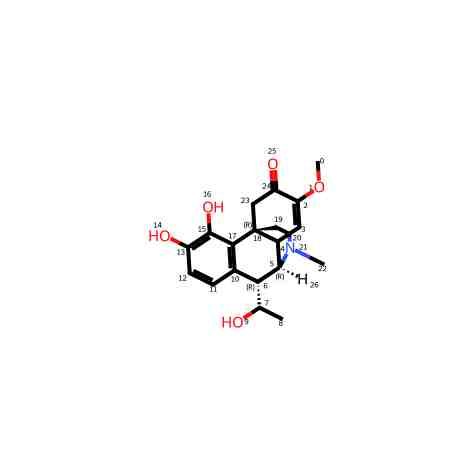 COC1=CC2[C@@H]3[C@H](C(C)O)c4ccc(O)c(O)c4[C@]2(CCN3C)CC1=O